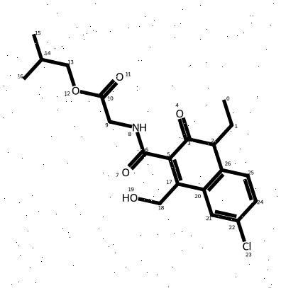 CCC1C(=O)C(C(=O)NCC(=O)OCC(C)C)=C(CO)c2cc(Cl)ccc21